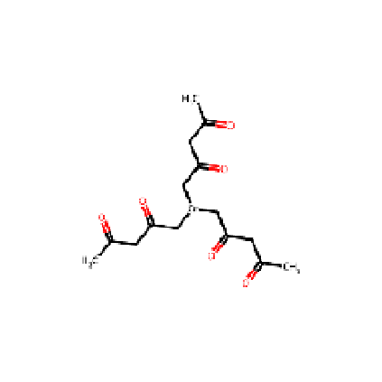 CC(=O)CC(=O)[CH2][Cr]([CH2]C(=O)CC(C)=O)[CH2]C(=O)CC(C)=O